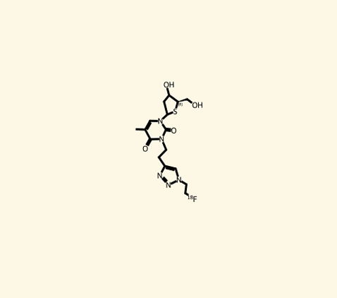 Cc1cn(C2CC(O)[C@@H](CO)S2)c(=O)n(CCc2cn(CC[18F])nn2)c1=O